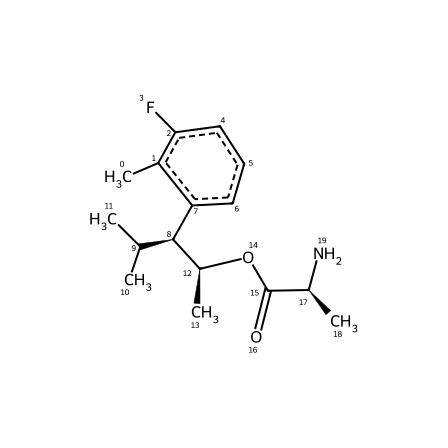 Cc1c(F)cccc1[C@H](C(C)C)[C@H](C)OC(=O)[C@H](C)N